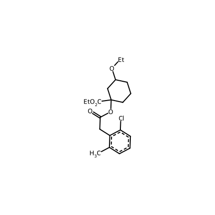 CCOC(=O)C1(OC(=O)Cc2c(C)cccc2Cl)CCCC(OCC)C1